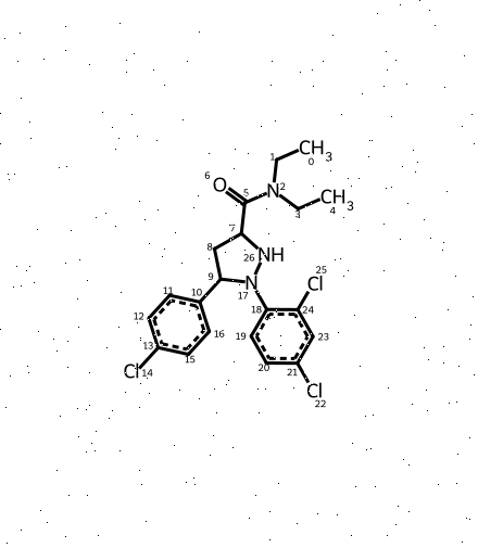 CCN(CC)C(=O)C1CC(c2ccc(Cl)cc2)N(c2ccc(Cl)cc2Cl)N1